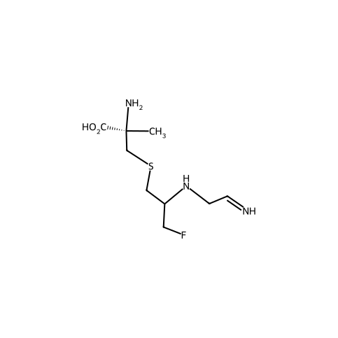 C[C@](N)(CSCC(CF)NCC=N)C(=O)O